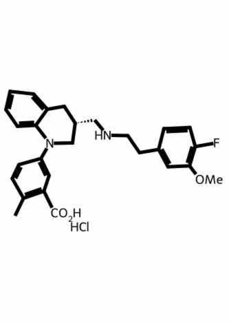 COc1cc(CCNC[C@H]2Cc3ccccc3N(c3ccc(C)c(C(=O)O)c3)C2)ccc1F.Cl